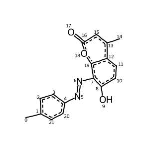 Cc1ccc(/N=N/c2c(O)ccc3c(C)cc(=O)oc23)cc1